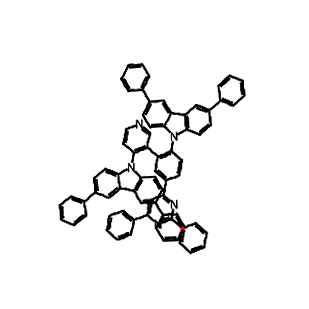 c1ccc(-c2ccc3c(c2)c2cc(-c4ccccc4)ccc2n3-c2ccncc2-c2cc(-c3cc(-c4ccccc4)nc(-c4ccccc4)n3)ccc2-n2c3ccc(-c4ccccc4)cc3c3cc(-c4ccccc4)ccc32)cc1